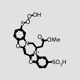 COC(=O)CC1CN2C(=Cc3oc4ccc(S(=O)(=O)O)cc4[n+]31)Oc1ccc(SOOO)cc12